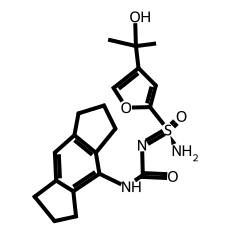 CC(C)(O)c1coc([S@](N)(=O)=NC(=O)Nc2c3c(cc4c2CCC4)CCC3)c1